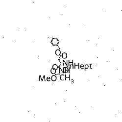 CCCCCCCC(=O)N[C@H](CC(=O)OCc1ccccc1)C(=O)N[C@@H](C)C(=O)OC